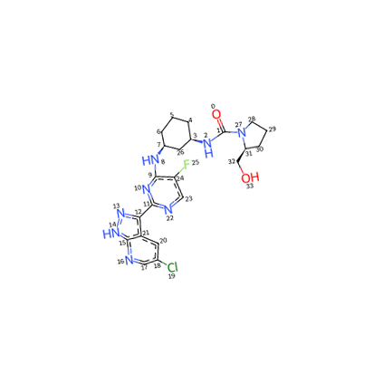 O=C(N[C@@H]1CCC[C@H](Nc2nc(-c3n[nH]c4ncc(Cl)cc34)ncc2F)C1)N1CCC[C@H]1CO